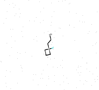 CCCCC[Si]1(F)CCC1